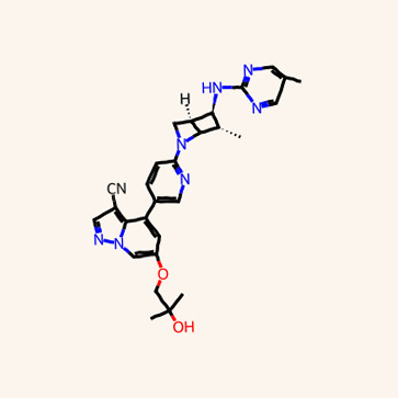 Cc1cnc(N[C@H]2[C@H](C)C3[C@H]2CN3c2ccc(-c3cc(OCC(C)(C)O)cn4ncc(C#N)c34)cn2)nc1